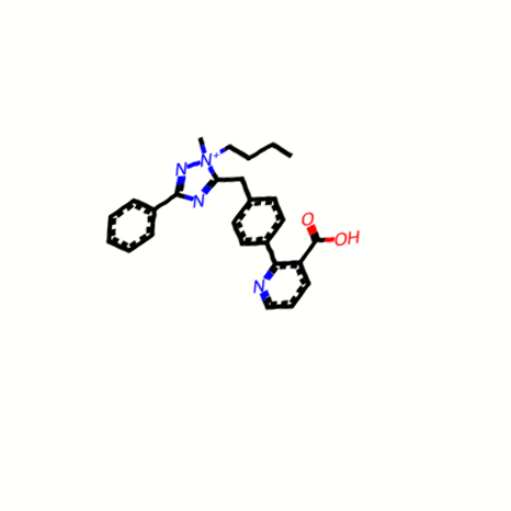 CCCC[N+]1(C)N=C(c2ccccc2)N=C1Cc1ccc(-c2ncccc2C(=O)O)cc1